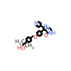 CC(C)(CO)c1ccc(COc2ccc(-c3c(-c4ccncc4)nn4c3C(=O)NCC4)cc2)cc1